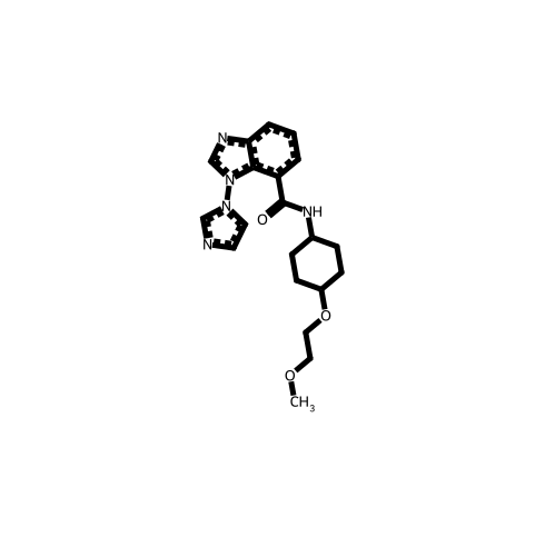 COCCOC1CCC(NC(=O)c2cccc3ncn(-n4ccnc4)c23)CC1